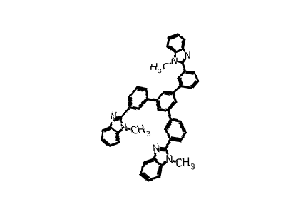 Cn1c(-c2cccc(-c3cc(-c4cccc(-c5nc6ccccc6n5C)c4)cc(-c4cccc(-c5nc6ccccc6n5C)c4)c3)c2)nc2ccccc21